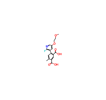 COCCOc1cnc(F)c(-c2cc(C)c(C(=O)O)cc2C(=O)O)c1